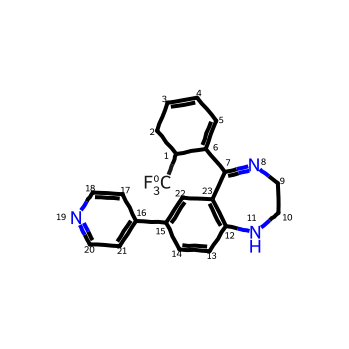 FC(F)(F)C1CC=CC=C1C1=NCCNc2ccc(-c3ccncc3)cc21